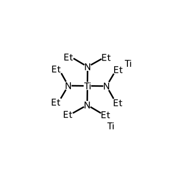 CC[N](CC)[Ti]([N](CC)CC)([N](CC)CC)[N](CC)CC.[Ti].[Ti]